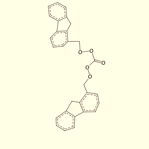 O=C(OOCc1cccc2c1Cc1ccccc1-2)OOCc1cccc2c1Cc1ccccc1-2